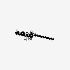 CCCCCCCCCCCCCCOc1ccc(CC(=O)Nc2cccc(C[n+]3ccsc3)c2)cc1OC.[Br-]